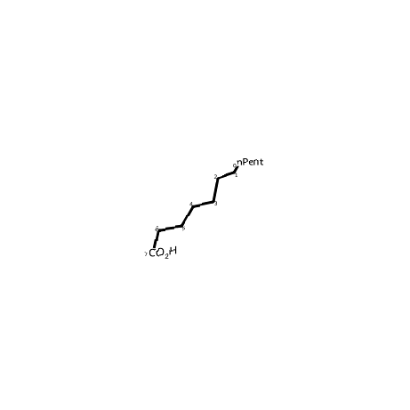 CCCCCCCCCCC[13C](=O)O